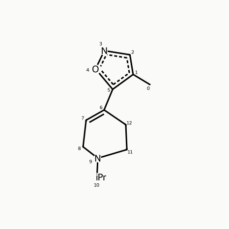 Cc1cnoc1C1=CCN(C(C)C)CC1